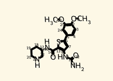 COc1ccc(-c2cc(NC(N)=O)c(C(=O)N[C@H]3CCCNC3)s2)cc1OC